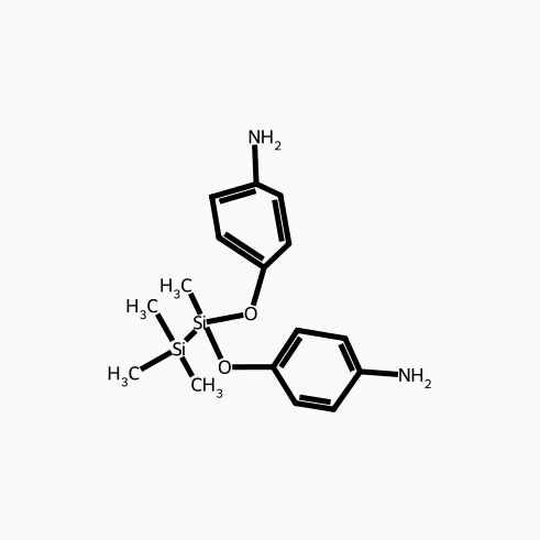 C[Si](C)(C)[Si](C)(Oc1ccc(N)cc1)Oc1ccc(N)cc1